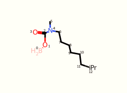 BOC(=O)N(C)CCCCCCC(C)C